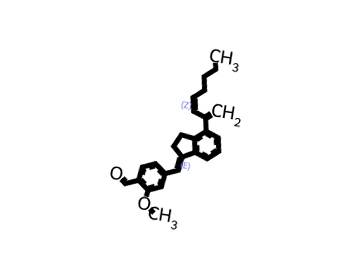 C=C(/C=C\CCCC)c1cccc2c1CC/C2=C\c1ccc(C=O)c(OC)c1